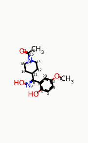 COc1ccc(O)c(C(=NO)C2CCN(C(C)=O)CC2)c1